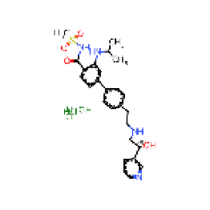 CC(C)Nc1cc(-c2ccc(CCNC[C@H](O)c3cccnc3)cc2)ccc1C(=O)NS(C)(=O)=O.Cl.Cl.Cl